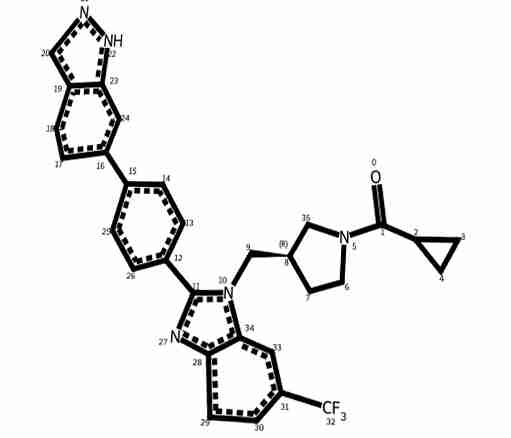 O=C(C1CC1)N1CC[C@@H](Cn2c(-c3ccc(-c4ccc5cn[nH]c5c4)cc3)nc3ccc(C(F)(F)F)cc32)C1